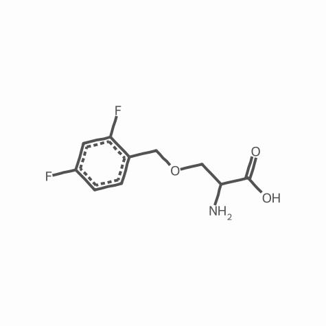 NC(COCc1ccc(F)cc1F)C(=O)O